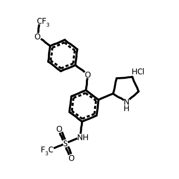 Cl.O=S(=O)(Nc1ccc(Oc2ccc(OC(F)(F)F)cc2)c(C2CCCN2)c1)C(F)(F)F